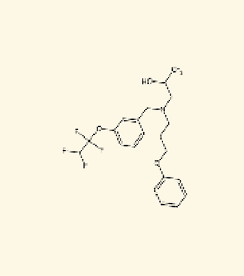 OC(CN(CCCOc1ccccc1)Cc1cccc(OC(F)(F)C(F)F)c1)C(F)(F)F